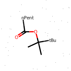 CCCCCC(=O)OC(C)(C)C(C)(C)C